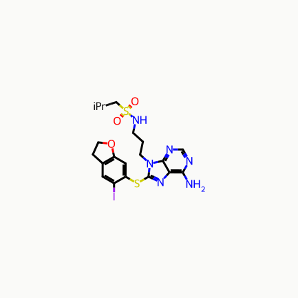 CC(C)CS(=O)(=O)NCCCn1c(Sc2cc3c(cc2I)CCO3)nc2c(N)ncnc21